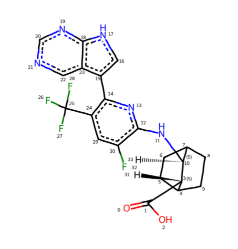 O=C(O)[C@H]1C2CCC(CC2)[C@@H]1Nc1nc(-c2c[nH]c3ncncc23)c(C(F)(F)F)cc1F